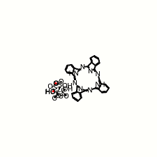 O=[S](=O)(O)[Zn]([S](=O)(=O)O)([S](=O)(=O)O)[S](=O)(=O)O.c1ccc2c(c1)-c1nc-2nc2[nH]c(nc3nc(nc4[nH]c(n1)c1ccccc41)-c1ccccc1-3)c1ccccc21